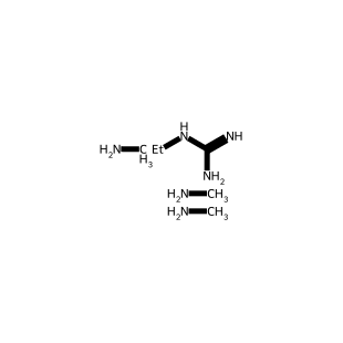 CCNC(=N)N.CN.CN.CN